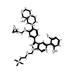 C[Si](C)(C)CCOCn1nc(-c2ccc(N3CCN4CCOC[C@H]4C3)c(OC[C@H]3CO3)c2)c2cc(-c3c(O)cccc3F)ncc21